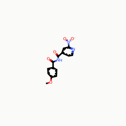 COc1ccc(C(=O)NC(=O)c2ccnc([N+](=O)[O-])c2)cc1